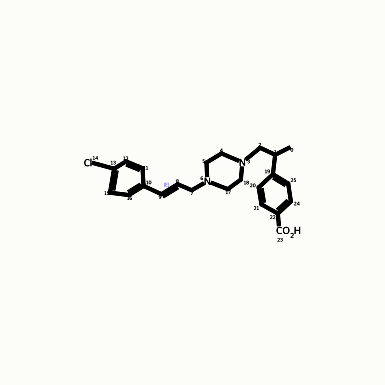 CC(CN1CCN(C/C=C/c2ccc(Cl)cc2)CC1)c1ccc(C(=O)O)cc1